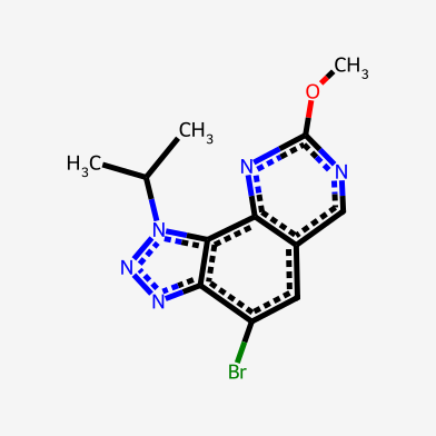 COc1ncc2cc(Br)c3nnn(C(C)C)c3c2n1